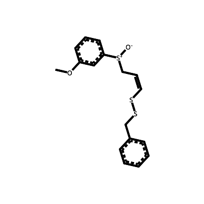 COc1cccc([S+]([O-])C/C=C\SSCc2ccccc2)c1